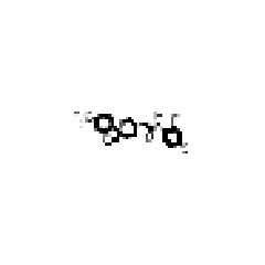 O=C(C[C@H]1CC[C@]2(CC1)COc1cc(C(F)(F)F)ccc12)Nc1ccc(Cl)cc1F